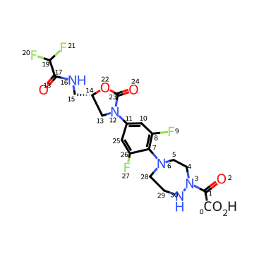 O=C(O)C(=O)N1CCN(c2c(F)cc(N3C[C@H](CNC(=O)C(F)F)OC3=O)cc2F)CCN1